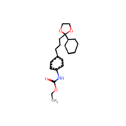 CCOC(=O)Nc1ccc(CCCC2(C3CCCCC3)OCCO2)cc1